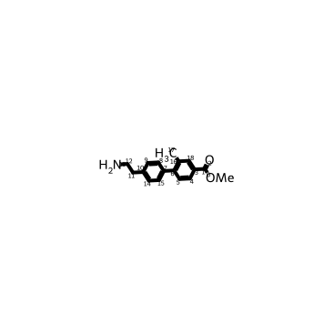 COC(=O)c1ccc(-c2ccc(CCN)cc2)c(C)c1